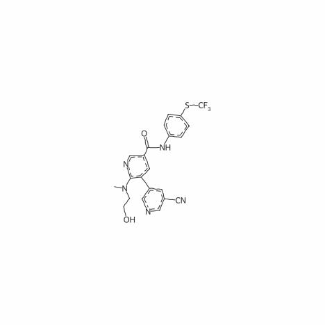 CN(CCO)c1ncc(C(=O)Nc2ccc(SC(F)(F)F)cc2)cc1-c1cncc(C#N)c1